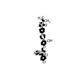 CCC(C)n1ncn(-c2ccc(N3CCN(c4ccc(OCC5COC(Cn6cncn6)(c6ccc(Cl)cc6Cl)O5)cc4)CC3)cc2)c1=O.Cl